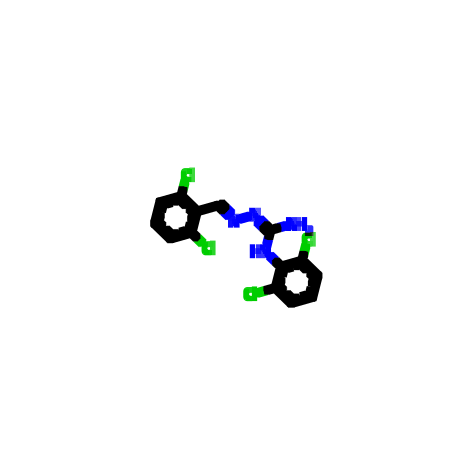 NC(=NN=Cc1c(Cl)cccc1Cl)Nc1c(Cl)cccc1Cl